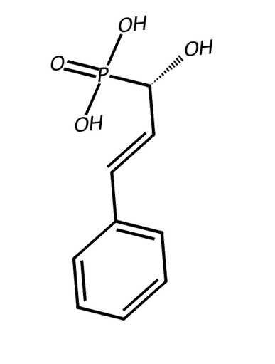 O=P(O)(O)[C@H](O)C=Cc1ccccc1